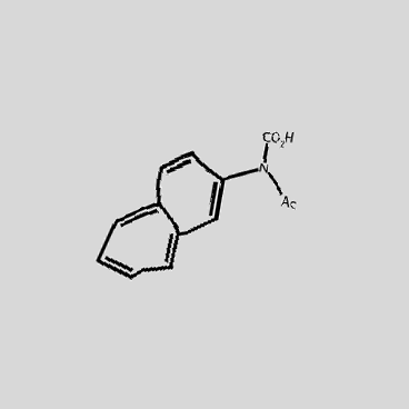 CC(=O)N(C(=O)O)c1ccc2ccccc2c1